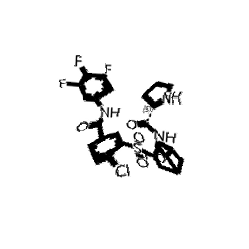 O=C(Nc1cc(F)c(F)c(F)c1)c1ccc(Cl)c(S(=O)(=O)C2CC3CC(C2)C3(O)CNC(=O)[C@@H]2CCCN2)c1